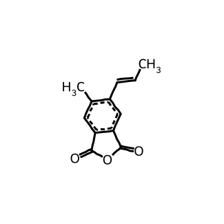 C/C=C/c1cc2c(cc1C)C(=O)OC2=O